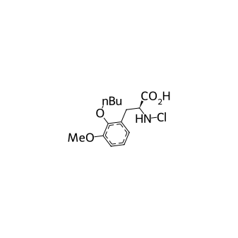 CCCCOc1c(C[C@H](NCl)C(=O)O)cccc1OC